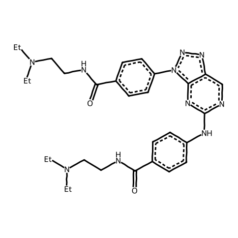 CCN(CC)CCNC(=O)c1ccc(Nc2ncc3nnn(-c4ccc(C(=O)NCCN(CC)CC)cc4)c3n2)cc1